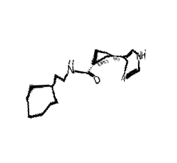 O=C(NCCC1CCCCC1)[C@@H]1C[C@H]1c1c[nH]cn1